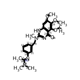 COc1cc2[nH]c(N(C)Cc3cccc(/N=C(\C)N(C)C)c3)nc(=O)c2c(OC)c1OC